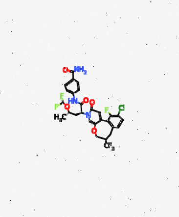 C[C@@H](C[C@@H](C(=O)Nc1ccc(C(N)=O)cc1)n1cc2c(cc1=O)-c1c(ccc(Cl)c1F)C[C@@H](C(F)(F)F)CO2)OC(F)F